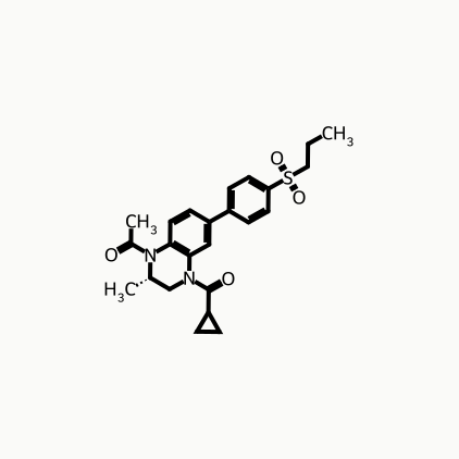 CCCS(=O)(=O)c1ccc(-c2ccc3c(c2)N(C(=O)C2CC2)C[C@H](C)N3C(C)=O)cc1